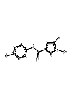 Cc1cc(C(=O)Nc2ccc(Cl)nc2)nn1C(C)(C)C